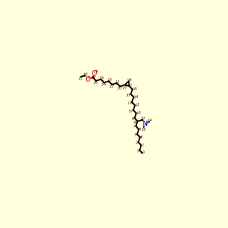 CCCCCCCCC(CCCCCCCCC1CC1CCCCCCCC(=O)OCC)CN(C)C